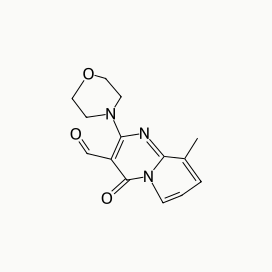 Cc1cccn2c(=O)c(C=O)c(N3CCOCC3)nc12